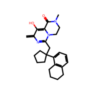 C=C1N=C(CC2(c3cccc4c3CCCC4)CCCC2)N2CCN(C)C(=O)C2=C1O